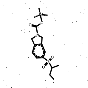 CCC(C)S(=O)(=O)c1ccc2c(c1)CN(C(=O)OC(C)(C)C)C2